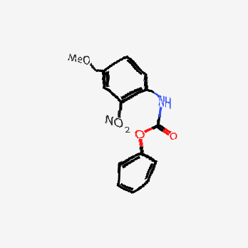 COc1ccc(NC(=O)Oc2ccccc2)c([N+](=O)[O-])c1